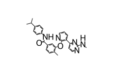 CNc1nccc(-c2cccnc2Oc2cc(C(=O)Nc3ccc(C(C)C)cc3)ccc2C)n1